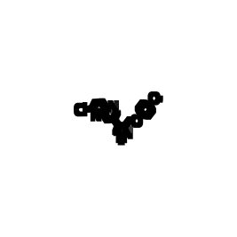 COc1ccc(OCc2nn(C)cc2-c2cnc3ccc(Cl)nc3c2)cc1